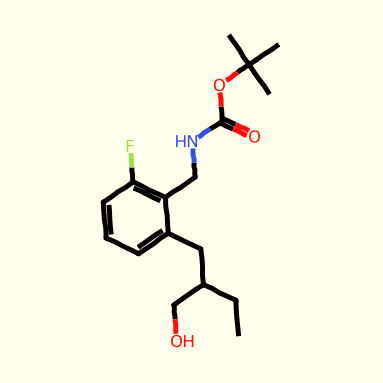 CCC(CO)Cc1cccc(F)c1CNC(=O)OC(C)(C)C